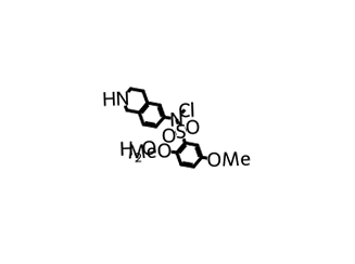 COc1ccc(OC)c(S(=O)(=O)N(Cl)c2ccc3c(c2)CCNC3)c1.O